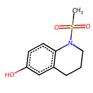 CS(=O)(=O)N1CCCc2cc(O)ccc21